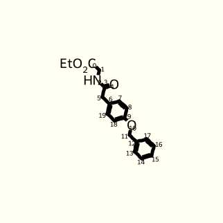 CCOC(=O)CNC(=O)Cc1ccc(OCc2ccccc2)cc1